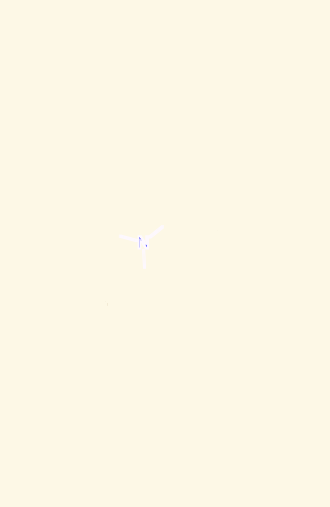 C=CCN1C=CSC1